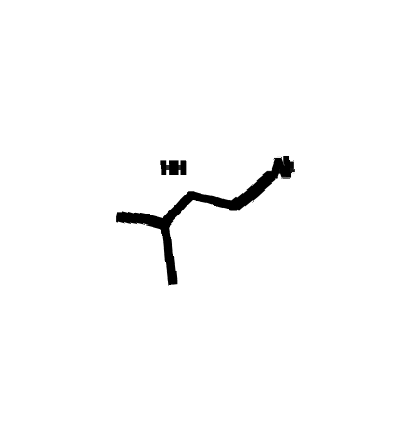 CC(C)C[CH2][Al].[HH]